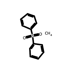 C.O=S(=O)(c1ccccc1)c1ccccc1